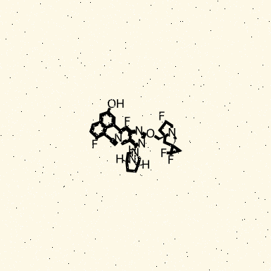 C#Cc1c(F)ccc2cc(O)cc(-c3ncc4c(N5C[C@H]6CC[C@@H](C5)N6)nc(OC[C@@]56C[C@H](F)CN5C[C@@]5(CC5(F)F)C6)nc4c3F)c12